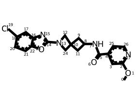 COc1cc(C(=O)NC2CC3(C2)CN(c2nc4cc(Cl)ccc4o2)C3)ccn1